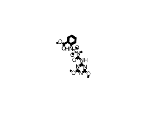 COC(=O)c1ccccc1NS(=O)(=O)N(C)C(=O)Nc1nc(OC)nc(OC)n1